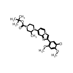 COc1cc(OC)c(-c2cn3ccc(N4CCN(C(=O)OC(C)(C)C)CC4C)cc3n2)cc1Cl